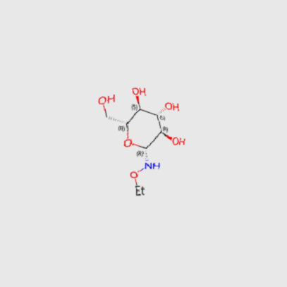 CCON[C@@H]1O[C@H](CO)[C@@H](O)[C@H](O)[C@H]1O